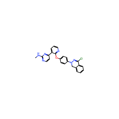 CNc1nccc(-c2cccnc2Oc2ccc(N3Cc4ccccc4C(Cl)=N3)cc2)n1